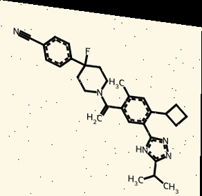 C=C(c1cc(-c2nnc(C(C)C)[nH]2)c(C2CCC2)cc1C)N1CCC(F)(c2ccc(C#N)cc2)CC1